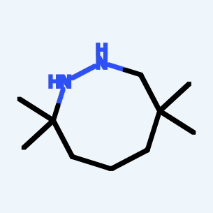 CC1(C)CCCC(C)(C)NNC1